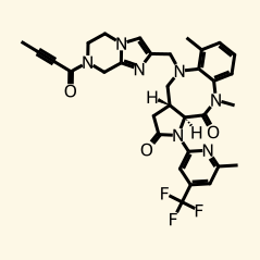 CC#CC(=O)N1CCn2cc(CN3C[C@H]4CC(=O)N(c5cc(C(F)(F)F)cc(C)n5)[C@@H]4C(=O)N(C)c4cccc(C)c43)nc2C1